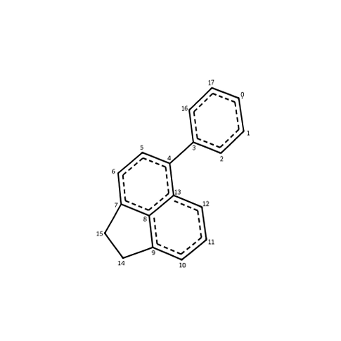 [c]1ccc(-c2ccc3c4c(cccc24)CC3)cc1